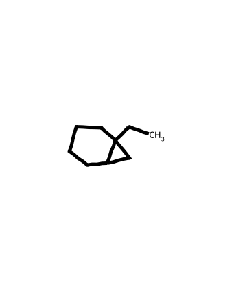 C[CH]C12CCCCC1C2